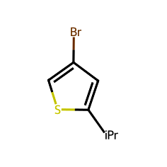 CC(C)c1cc(Br)cs1